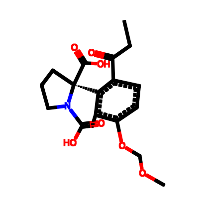 CCC(=O)c1ccc(OCOC)c(C)c1[C@@]1(C(=O)O)CCCN1C(=O)O